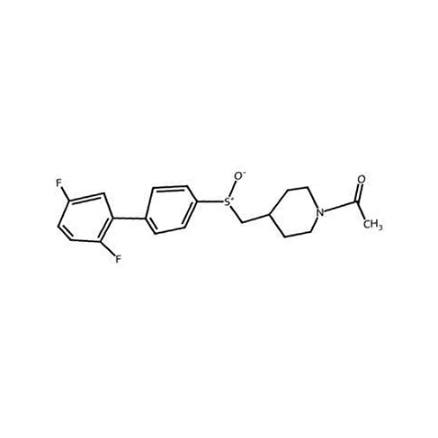 CC(=O)N1CCC(C[S+]([O-])c2ccc(-c3cc(F)ccc3F)cc2)CC1